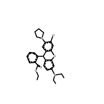 CCOC(=O)c1ccccc1C1c2ccc(N(CC)CC)cc2Oc2cc(Cl)c(N3CCCC3)cc21